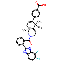 CC1(C)C(c2ccc(C(=O)O)cc2)=CC[C@]2(C)CN(C(=O)c3ccccc3-c3nc4c(F)c(F)ccc4[nH]3)CC=C12